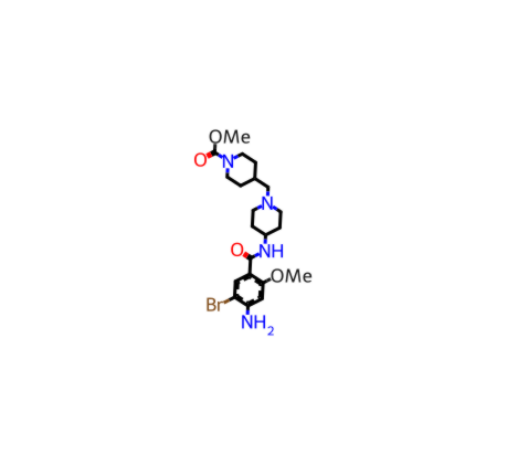 COC(=O)N1CCC(CN2CCC(NC(=O)c3cc(Br)c(N)cc3OC)CC2)CC1